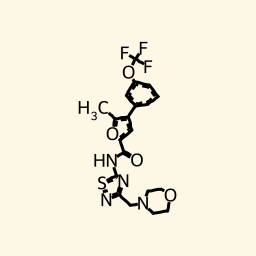 Cc1oc(C(=O)Nc2nc(CN3CCOCC3)ns2)cc1-c1cccc(OC(F)(F)F)c1